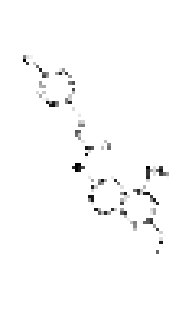 CCc1cc(N)c2cc(NC(=O)C=Cc3ccc(Cl)cc3)ccc2n1